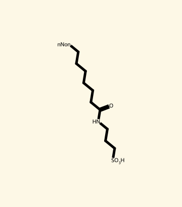 CCCCCCCCCCCCCCCC(=O)NCCCS(=O)(=O)O